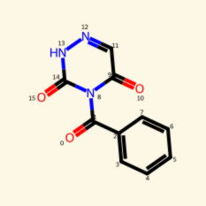 O=C(c1ccccc1)n1c(=O)cn[nH]c1=O